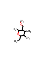 CCC1OC(C)C(COC)C(C)C1C